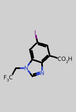 O=C(O)c1cc(I)cc2c1ncn2CC(F)(F)F